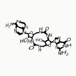 Nc1nc2c(ncn2C2OC3CNC(=O)NC4C(CNC(=O)NC2C3O)OC(n2cnc3c(N)ncnc32)C4O)c(=O)[nH]1